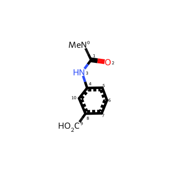 CNC(=O)Nc1cccc(C(=O)O)c1